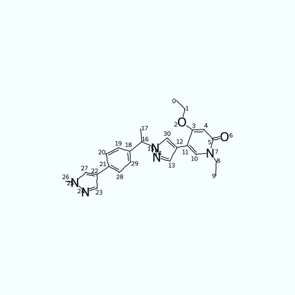 CCOc1cc(=O)n(CC)cc1-c1cnn(C(C)c2ccc(-c3cnn(C)c3)cc2)c1